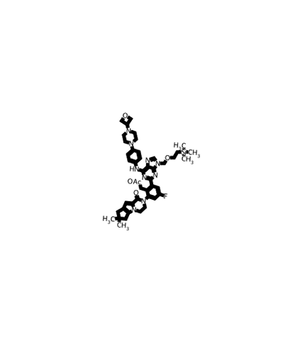 CC(=O)OCc1c(-c2nc(Nc3ccc(N4CCN(C5COC5)CC4)cc3)c3ncn(COCC[Si](C)(C)C)c3n2)cc(F)cc1N1CCn2c(cc3c2CC(C)(C)C3)C1=O